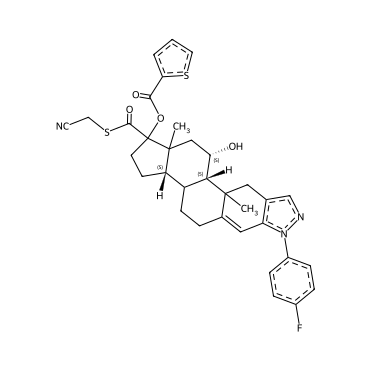 CC12Cc3cnn(-c4ccc(F)cc4)c3C=C1CCC1[C@@H]2[C@@H](O)CC2(C)[C@H]1CCC2(OC(=O)c1cccs1)C(=O)SCC#N